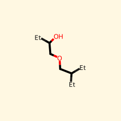 CCC(O)COCC(CC)CC